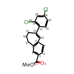 COC(=O)c1ccc2c(c1)CCCC(c1ccc(Cl)cc1Cl)=C2